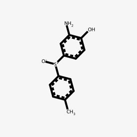 Cc1ccc([S+]([O-])c2ccc(O)c(N)c2)cc1